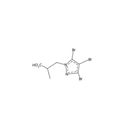 CC(Cn1nc(Br)c(Br)c1Br)C(=O)O